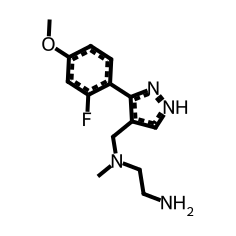 COc1ccc(-c2n[nH]cc2CN(C)CCN)c(F)c1